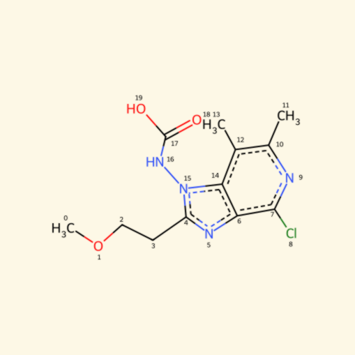 COCCc1nc2c(Cl)nc(C)c(C)c2n1NC(=O)O